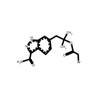 CC(C)(Cc1ccc2c(C(N)=O)n[nH]c2c1)OC(=O)CBr